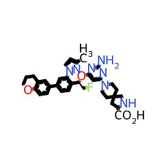 Cc1ccn(-c2cc(-c3ccc4c(c3)CCCO4)ccc2[C@H](CF)Oc2cc(N3CCC4(CC3)CNC(C(=O)O)C4)nc(N)n2)n1